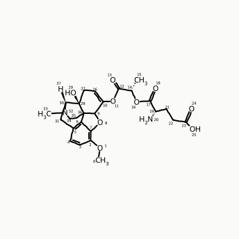 COc1ccc2c3c1OC1C(OC(=O)[C@H](C)OC(=O)[C@@H](N)CCC(=O)O)=CC[C@@]4(O)[C@@H](C2)N(C)CCC314